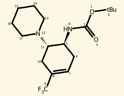 CC(C)(C)OC(=O)N[C@H]1CC=C(C(F)(F)F)C[C@@H]1N1CCCCC1